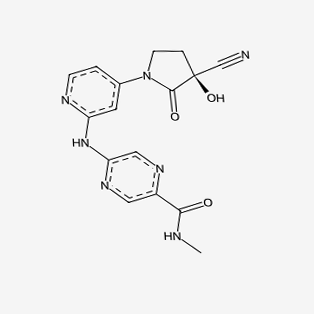 CNC(=O)c1cnc(Nc2cc(N3CC[C@](O)(C#N)C3=O)ccn2)cn1